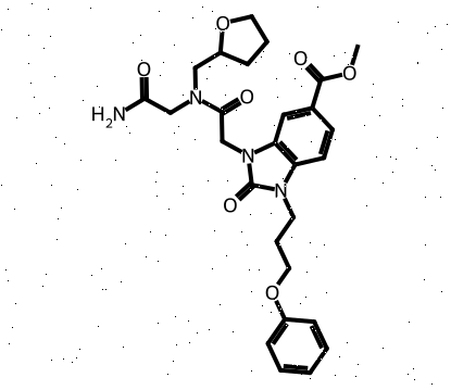 COC(=O)c1ccc2c(c1)n(CC(=O)N(CC(N)=O)CC1CCCO1)c(=O)n2CCCOc1ccccc1